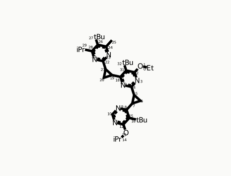 CCOc1nc(C2CC2c2ncnc(OC(C)C)c2C(C)(C)C)nc(C2CC2c2nc(C)c(C(C)(C)C)c(C(C)C)n2)c1C(C)(C)C